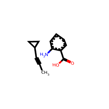 CC#CC1CC1.Nc1ccccc1C(=O)O